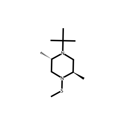 CSN1C[C@H](C)N(C(C)(C)C)C[C@H]1C